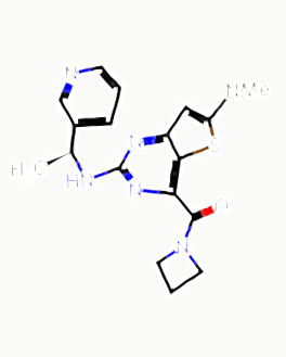 CNc1cc2nc(N[C@@H](C)c3cccnc3)nc(C(=O)N3CCC3)c2s1